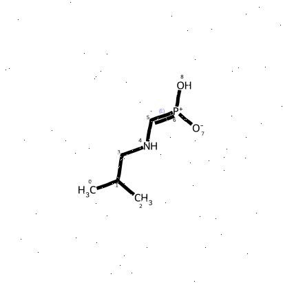 CC(C)CN/C=[P+](\[O-])O